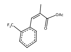 CC(=O)OC(=O)C(C)=Cc1ccccc1C(F)(F)F